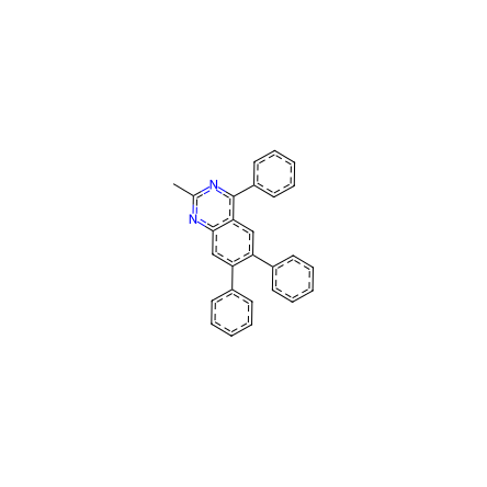 Cc1nc(-c2ccccc2)c2cc(-c3ccccc3)c(-c3ccccc3)cc2n1